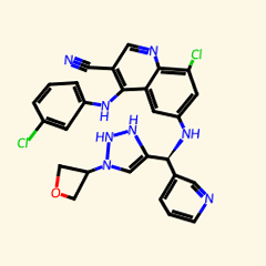 N#Cc1cnc2c(Cl)cc(N[C@H](C3=CN(C4COC4)NN3)c3cccnc3)cc2c1Nc1cccc(Cl)c1